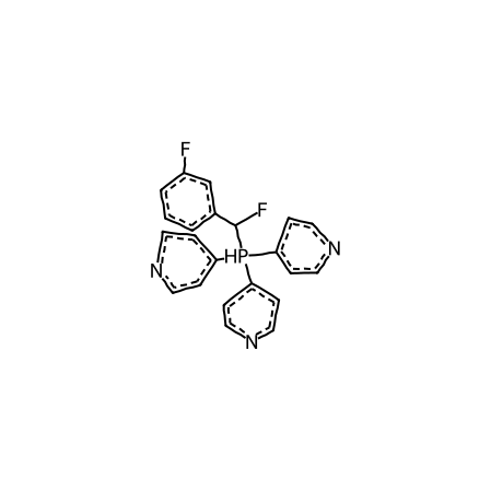 Fc1cccc(C(F)[PH](c2ccncc2)(c2ccncc2)c2ccncc2)c1